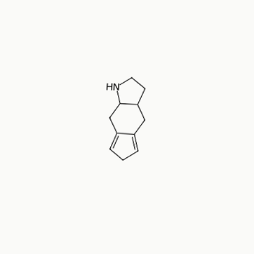 C1=C2CC3CCNC3CC2=CC1